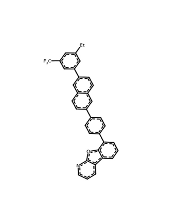 CCc1cc(-c2ccc3cc(-c4ccc(-c5cccc6c5oc5ncccc56)cc4)ccc3c2)cc(C(F)(F)F)c1